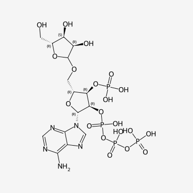 Nc1ncnc2c1ncn2[C@@H]1O[C@H](COC2O[C@H](CO)[C@@H](O)[C@H]2O)[C@@H](OP(=O)(O)O)[C@H]1OP(=O)(O)OP(=O)(O)OP(=O)(O)O